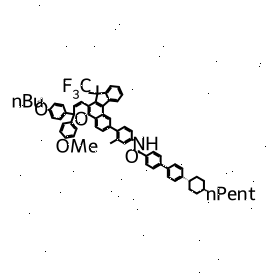 CCCCC[C@H]1CC[C@H](c2ccc(-c3ccc(C(=O)Nc4ccc(-c5ccc6c7c(c8c(c6c5)-c5ccccc5C8(C)CC(F)(F)F)C=CC(c5ccc(OC)cc5)(c5ccc(OCCCC)cc5)O7)c(C)c4)cc3)cc2)CC1